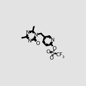 Cc1nc(C)n(Cc2ccc(OS(=O)(=O)C(F)(F)F)nc2)c(=O)n1